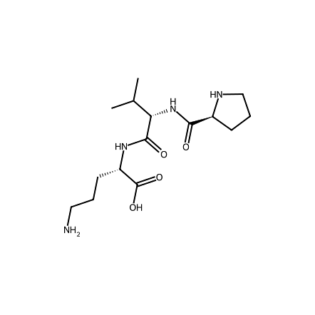 CC(C)[C@H](NC(=O)[C@@H]1CCCN1)C(=O)N[C@@H](CCCN)C(=O)O